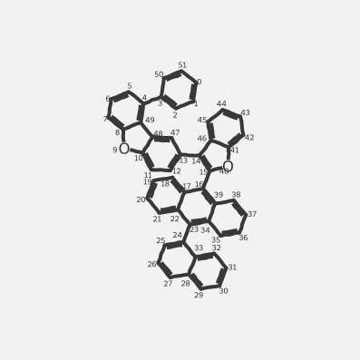 c1ccc(-c2cccc3oc4ccc(-c5c(-c6c7ccccc7c(-c7cccc8ccccc78)c7ccccc67)oc6ccccc56)cc4c23)cc1